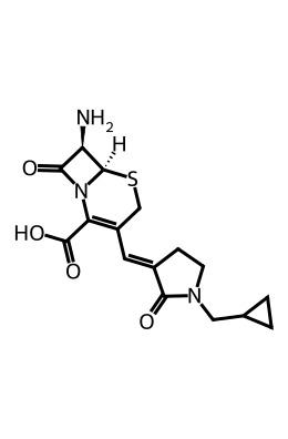 N[C@@H]1C(=O)N2C(C(=O)O)=C(C=C3CCN(CC4CC4)C3=O)CS[C@H]12